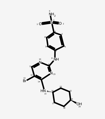 NS(=O)(=O)c1ccc(Nc2ncc(Br)c(N[C@H]3CC[C@H](O)CC3)n2)cc1